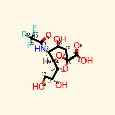 O=C(N[C@H]1[C@H]2OC(C(=O)O)(C[C@@H]1O)O[C@@H]2[C@H](O)CO)C(F)(F)F